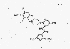 COc1nn(C)cc1C(=O)Nc1cc(C#N)cnc1N1CCN(Cc2c(F)cc(F)c(OC)c2F)CC1